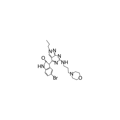 CCCn1cc2c(C3C(=O)Nc4ccc(Br)cc43)nc(NCCCN3CCOCC3)nc2n1